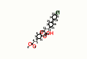 COC(=O)CCc1ccc(OC(CCc2ccc(-c3ccc(Cl)cc3)cc2)C(=O)O)cc1